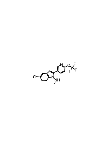 CNn1c(-c2ccc(OC(F)(F)F)nc2)cc2cc(Cl)ccc21